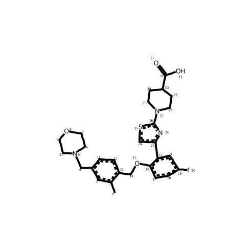 Cc1cc(CN2CCOCC2)ccc1COc1ccc(F)cc1-c1csc(N2CCC(C(=O)O)CC2)n1